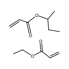 C=CC(=O)OC(C)CC.C=CC(=O)OCC